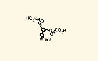 C=C(CC(=O)O)C(=O)OCCc1cc(CCOC(=O)C(=C)CC(=O)O)cc(-c2ccc(CCCCC)cc2)c1